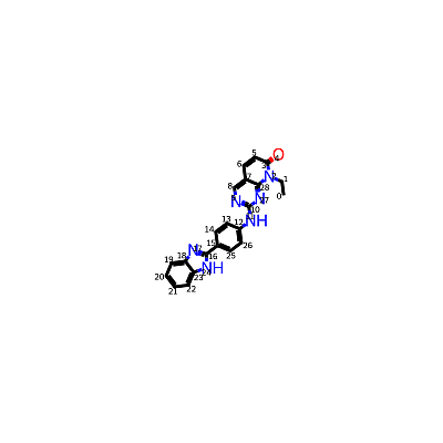 CCn1c(=O)ccc2cnc(Nc3ccc(-c4nc5ccccc5[nH]4)cc3)nc21